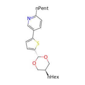 CCCCCC[C@H]1CO[C@H](c2ccc(-c3ccc(CCCCC)nc3)s2)OC1